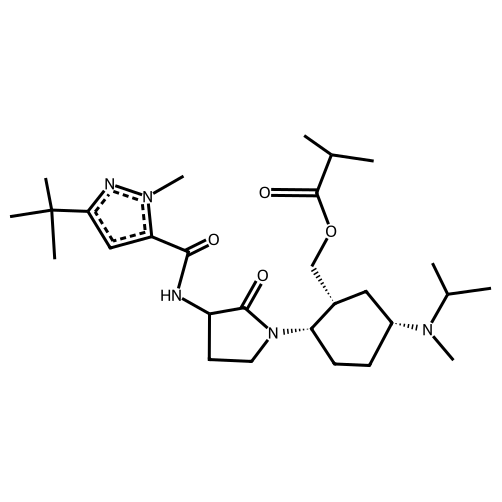 CC(C)C(=O)OC[C@@H]1C[C@H](N(C)C(C)C)CC[C@@H]1N1CCC(NC(=O)c2cc(C(C)(C)C)nn2C)C1=O